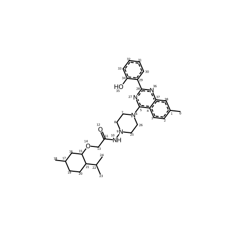 Cc1ccc2c(N3CCN(NC(=O)COC4CC(C)CCC4C(C)C)CC3)nc(-c3ccccc3O)nc2c1